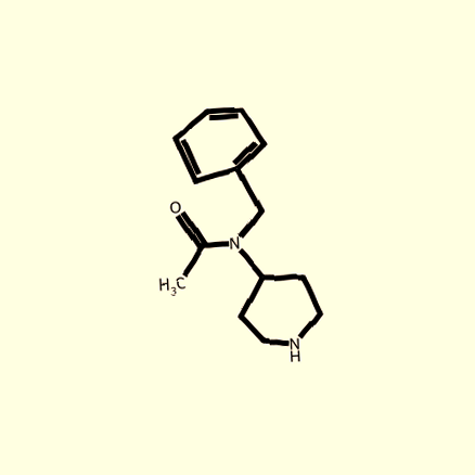 CC(=O)N(Cc1ccccc1)C1CCNCC1